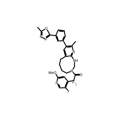 COc1cc([C@@H](C)C(=O)N2CCCCc3cc(-c4cccc(-c5nnc(C)o5)c4)c(C)nc3NC2)c(F)cn1